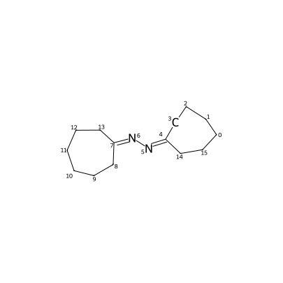 C1CCCC(=NN=C2CCCCCC2)CC1